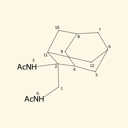 CC(=O)NCC1(NC(C)=O)C2CC3CC(C2)CC1C3